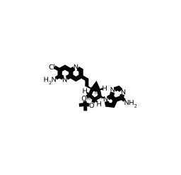 CC1(C)O[C@H]2[C@H](n3ccc4c(N)ncnc43)[C@H]3C[C@@]3(CCc3cnc4cc(Cl)c(N)nc4c3)[C@H]2O1